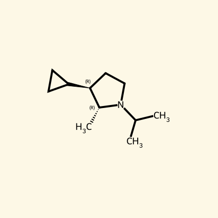 CC(C)N1CC[C@H](C2CC2)[C@H]1C